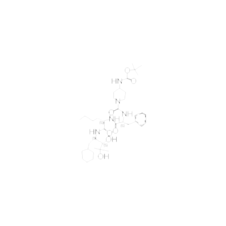 CCCC[C@H](NC(=O)[C@H](Cc1ccccc1)NC(=O)N1CCC(NC(=O)OC(C)(C)C)CC1)C(=O)N[C@@H](CC1CCCCC1)[C@H](O)C(C)(C)O